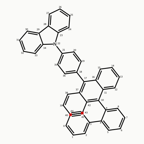 c1ccc(-c2ccccc2-c2c3ccccc3c(-c3ccc(-n4c5ccccc5c5ccccc54)cc3)c3ccccc23)nc1